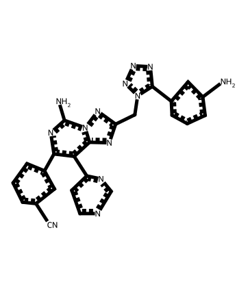 N#Cc1cccc(-c2nc(N)n3nc(Cn4nnnc4-c4cccc(N)c4)nc3c2-c2ccncn2)c1